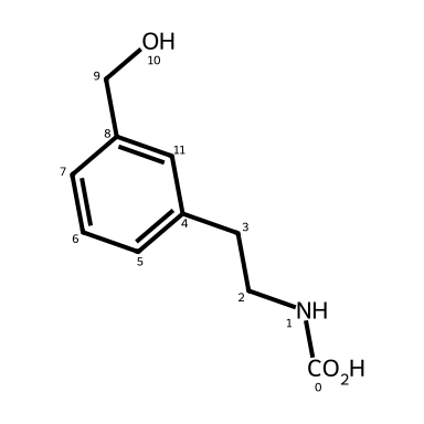 O=C(O)NCCc1cccc(CO)c1